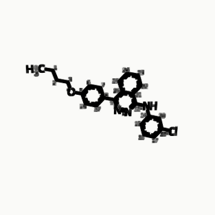 CCCCOc1ccc(-c2nnc(Nc3cccc(Cl)c3)c3ccccc23)cc1